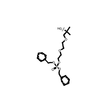 CC(C)(COCCOCCOP(=O)(OCc1ccccc1)OCc1ccccc1)C(=O)O